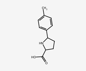 Cc1ccc(C2CCC(C(=O)O)N2)cc1